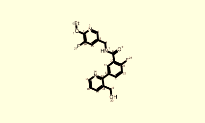 CCOc1ncc(CNC(=O)c2cc(-c3ncccc3CO)ccc2F)cc1F